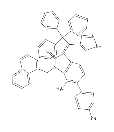 Cc1c(-c2ccc(C#N)cc2)ccc2c1N(Cc1cccc3ccccc13)C(=O)C2=C(c1cn[nH]c1)C(c1ccccc1)(c1ccccc1)c1ccccc1